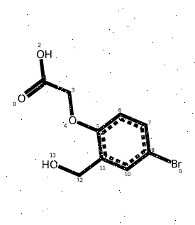 O=C(O)COc1ccc(Br)cc1CO